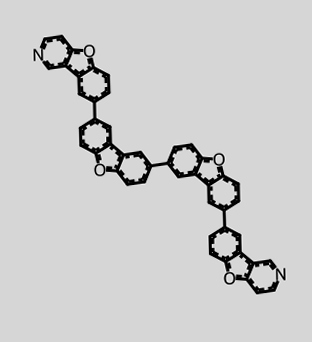 c1cc2oc3ccc(-c4ccc5oc6ccc(-c7ccc8oc9ccc(-c%10ccc%11oc%12ccncc%12c%11c%10)cc9c8c7)cc6c5c4)cc3c2cn1